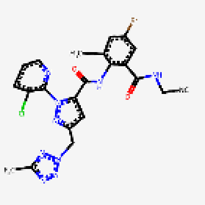 [C-]#[N+]CNC(=O)c1cc(Br)cc(C)c1NC(=O)c1cc(Cn2nnc(C(F)(F)F)n2)nn1-c1ncccc1Cl